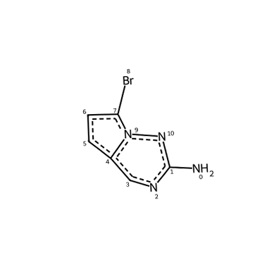 Nc1ncc2ccc(Br)n2n1